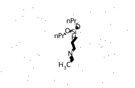 CC=NCCC[SiH](OCCC)OCCC